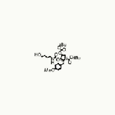 COc1ccc(C[C@@H]2[C@H](OC(=O)NCCCCO)[C@@H](OC(=O)OC(C)(C)C)CN2C(=O)OC(C)(C)C)cc1